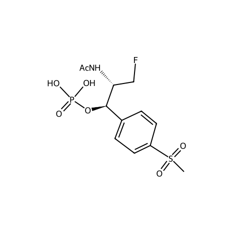 CC(=O)N[C@H](CF)[C@H](OP(=O)(O)O)c1ccc(S(C)(=O)=O)cc1